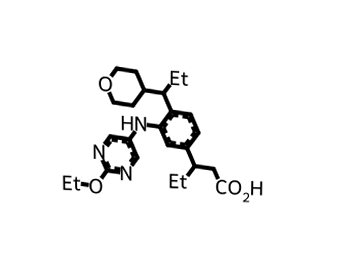 CCOc1ncc(Nc2cc(C(CC)CC(=O)O)ccc2C(CC)C2CCOCC2)cn1